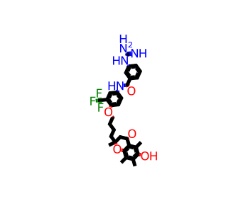 Cc1c(C)c2c(c(C)c1O)C(=O)CC(C)(CCCCOc1ccc(NC(=O)c3cccc(NC(=N)N)c3)cc1C(F)(F)F)O2